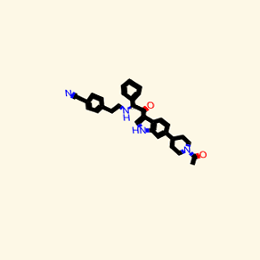 CC(=O)N1CCC(c2ccc3c(C(=O)[C@@H](NCCc4ccc(C#N)cc4)c4ccccc4)c[nH]c3c2)CC1